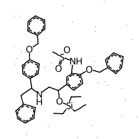 CC[Si](CC)(CC)OC(CNC(Cc1ccccc1)c1ccc(OCc2ccccc2)cc1)c1ccc(OCc2ccccc2)c(NS(C)(=O)=O)c1